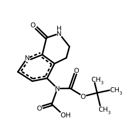 CC(C)(C)OC(=O)N(C(=O)O)c1ccnc2c1CCNC2=O